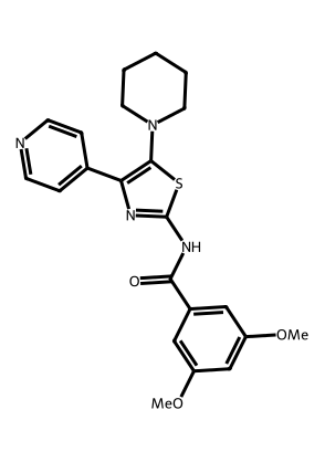 COc1cc(OC)cc(C(=O)Nc2nc(-c3ccncc3)c(N3CCCCC3)s2)c1